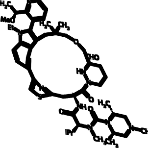 CCn1c(-c2cccnc2[C@H](C)OC)c2c3cc(ccc31)-c1csc(n1)C[C@H](NC(=O)[C@H](C(C)C)N(C)C(=O)N1[C@H](C)CN(C)C[C@H]1C)C(=O)N1CCCC(C=O)(COCC(C)(C)C2)N1